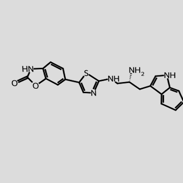 N[C@@H](CNc1ncc(-c2ccc3[nH]c(=O)oc3c2)s1)Cc1c[nH]c2ccccc12